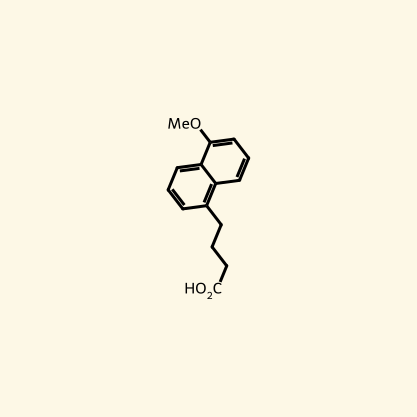 COc1cccc2c(CCCC(=O)O)cccc12